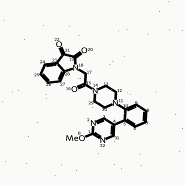 COc1ncc(-c2ccccc2N2CCN(C(=O)CN3C(=O)C(=O)c4ccccc43)CC2)cn1